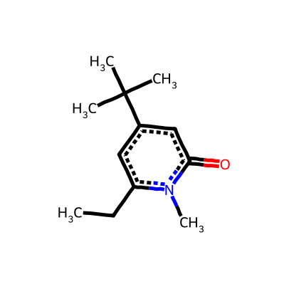 CCc1cc(C(C)(C)C)cc(=O)n1C